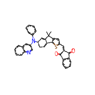 CC1(C)C2=CC(N(c3ccccc3)c3cnc4ccccc4c3)CC=C2c2sc(C=C3C(=O)c4ccccc4C3=O)cc21